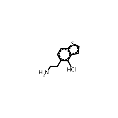 Cc1c(CCN)ccc2sccc12.Cl